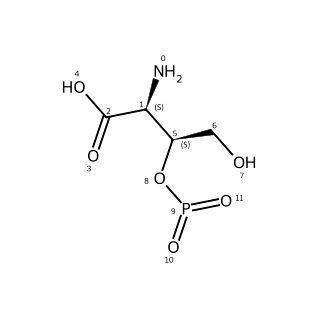 N[C@H](C(=O)O)[C@@H](CO)OP(=O)=O